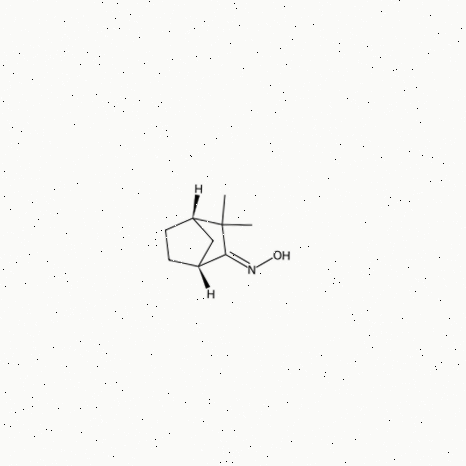 CC1(C)/C(=N\O)[C@@H]2CC[C@H]1C2